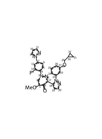 COc1cn(-c2ccc(-n3cccn3)cc2F)nc(-c2ccnn2-c2cccc(OCC3CC3)c2)c1=O